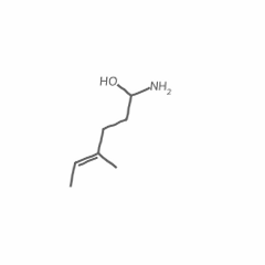 C/C=C(\C)CCC(N)O